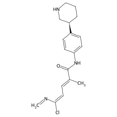 C=N/C(Cl)=C\C=C(/C)C(=O)Nc1ccc([C@@H]2CCCNC2)cc1